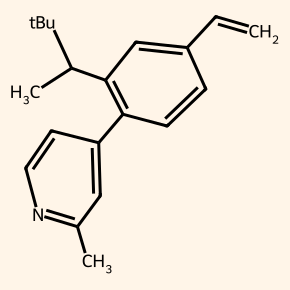 C=Cc1ccc(-c2ccnc(C)c2)c(C(C)C(C)(C)C)c1